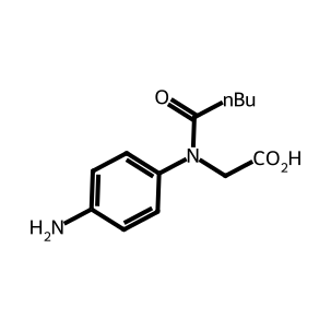 CCCCC(=O)N(CC(=O)O)c1ccc(N)cc1